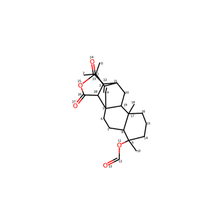 CC(C)C1=CC23CCC4C(C)(OC=O)CCCC4(C)C2CC1C1C(=O)OC(=O)C13